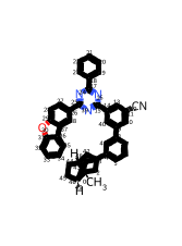 C[C@@]12CC3(c4cccc(-c5cc(C#N)cc(-c6nc(-c7ccccc7)nc(-c7ccc8oc9ccccc9c8c7)n6)c5)c4)C[C@H]1CC[C@H]2C3